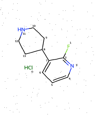 Cl.Fc1ncccc1C1CCNCC1